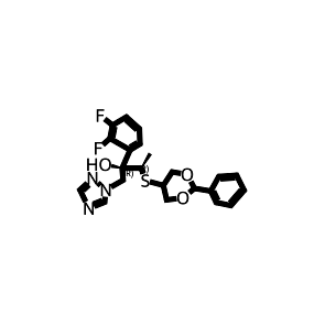 C[C@@H](SC1COC(c2ccccc2)OC1)[C@](O)(Cn1cncn1)c1cccc(F)c1F